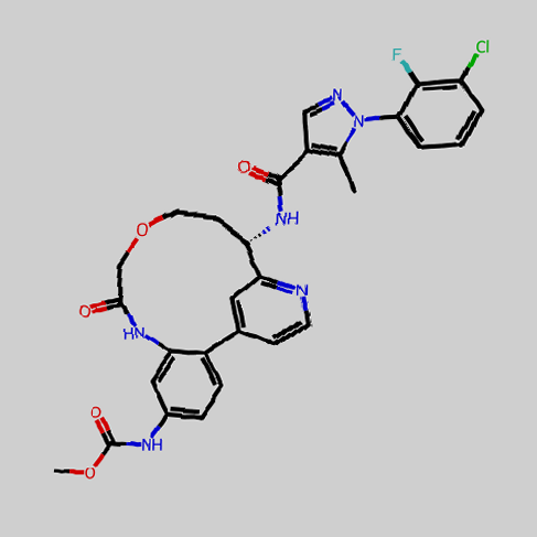 COC(=O)Nc1ccc2c(c1)NC(=O)COCC[C@H](NC(=O)c1cnn(-c3cccc(Cl)c3F)c1C)c1cc-2ccn1